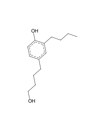 CCCCc1cc(CCCCO)ccc1O